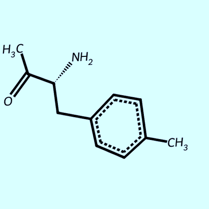 CC(=O)[C@H](N)Cc1ccc(C)cc1